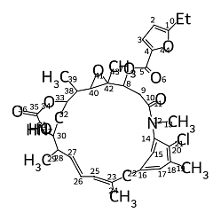 CCc1ccc(C(=O)OC2CC(=O)N(C)c3cc(cc(C)c3Cl)C/C(C)=C/C=C/C(C)C3(O)CC(OC(=O)N3)C(C)C3OC23C)o1